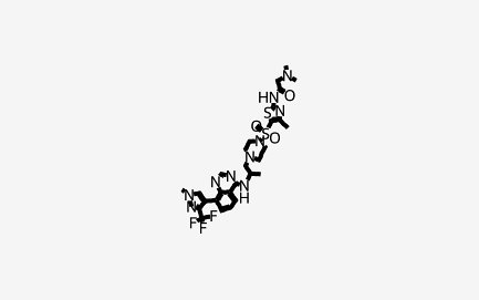 Cc1nc(NC(=O)CN(C)C)sc1S(=O)(=O)N1CCN(CC(C)Nc2ncnc3c(-c4cn(C)nc4C(F)(F)F)cccc23)CC1